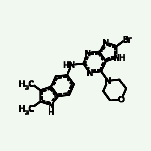 Cc1[nH]c2ccc(Nc3nc(N4CCOCC4)c4[nH]c(Br)nc4n3)cc2c1C